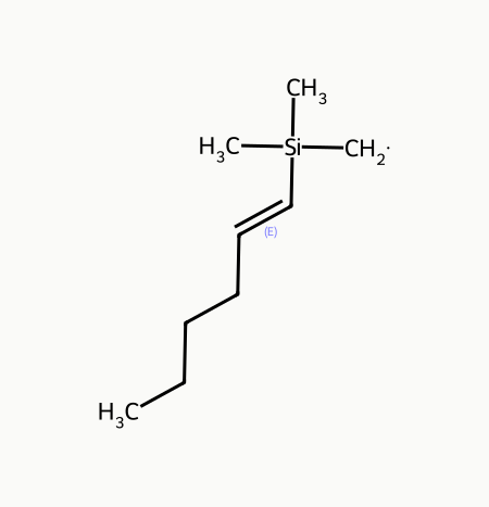 [CH2][Si](C)(C)/C=C/CCCC